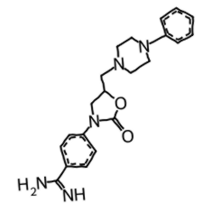 N=C(N)c1ccc(N2CC(CN3CCN(c4ccccc4)CC3)OC2=O)cc1